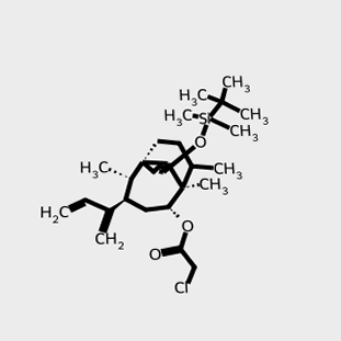 C=CC(=C)[C@@H]1C[C@@H](OC(=O)CCl)[C@]2(C)C(C)CC[C@]3(CC=C(O[Si](C)(C)C(C)(C)C)C32)[C@H]1C